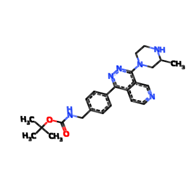 CC1CN(c2nnc(-c3ccc(CNC(=O)OC(C)(C)C)cc3)c3ccncc23)CCN1